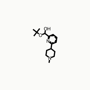 CN1CCC(c2cccc(C(O)OC(C)(C)C)n2)CC1